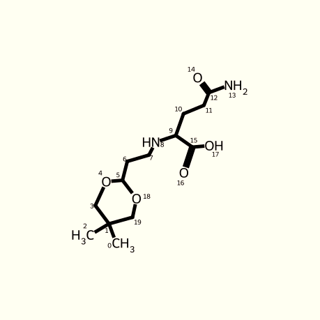 CC1(C)COC(CCNC(CCC(N)=O)C(=O)O)OC1